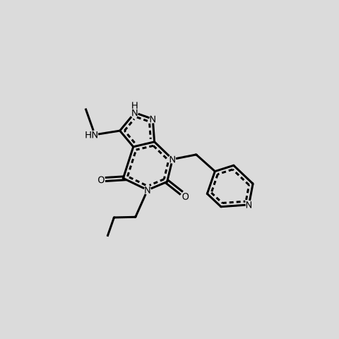 CCCn1c(=O)c2c(NC)[nH]nc2n(Cc2ccncc2)c1=O